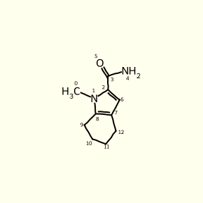 Cn1c(C(N)=O)cc2c1CCCC2